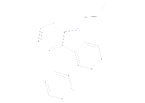 CC(C)Cn1c2ccccc2c2c(-c3ccccn3)cccc21